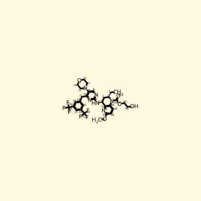 CC[C@@H]1C[C@H](Nc2ncc(N3CCOCC3)c(Cc3cc(C(F)(F)F)cc(C(F)(F)F)c3)n2)c2nc(OC)ccc2N1C(=O)OCCO